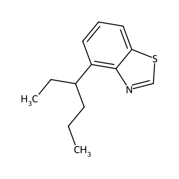 CCCC(CC)c1cccc2scnc12